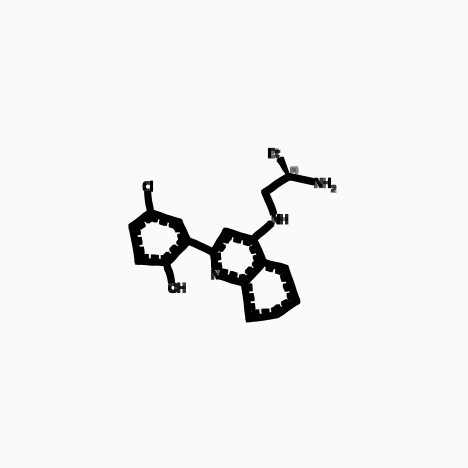 CC[C@@H](N)CNc1cc(-c2cc(Cl)ccc2O)nc2ccccc12